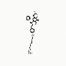 CCCCCCCCCCOc1ccc(C=CC(=O)c2c(-c3ccccc3)c3c([nH]c2=O)CCC(Cl)=C3)cc1